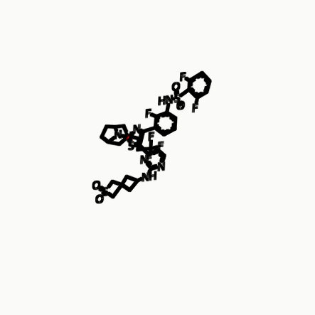 O=S1(=O)CC2(CC(Nc3nccc(-c4sc(N5C6CCC5CN(CCC(F)(F)F)C6)nc4-c4cccc(NS(=O)(=O)c5c(F)cccc5F)c4F)n3)C2)C1